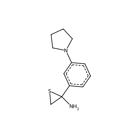 NC1(c2cccc(N3CCCC3)c2)CS1